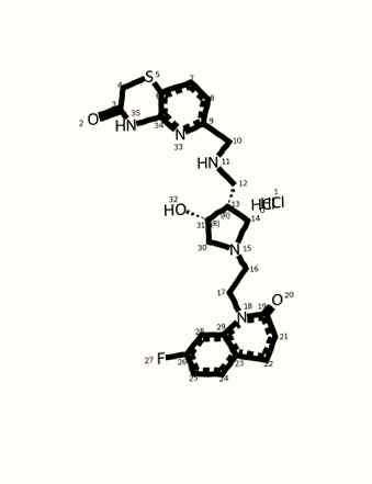 Cl.Cl.O=C1CSc2ccc(CNC[C@@H]3CN(CCn4c(=O)ccc5ccc(F)cc54)C[C@@H]3O)nc2N1